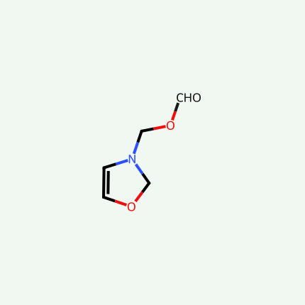 O=COCN1C=COC1